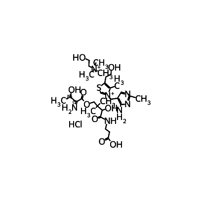 C[C@@H](O)[C@H](N)C(=O)OCC(C)(C)C(O)C(=O)NCCC(=O)O.C[N+](C)(C)CCO.Cc1ncc(C[n+]2csc(CCO)c2C)c(N)n1.Cl